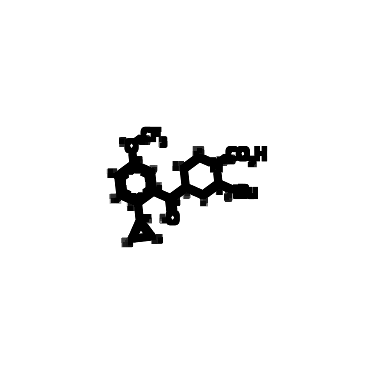 CC(C)(C)C1CC(C(=O)c2cc(OC(F)(F)F)ccc2C2CC2)CCN1C(=O)O